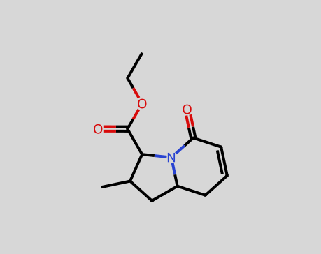 CCOC(=O)C1C(C)CC2CC=CC(=O)N21